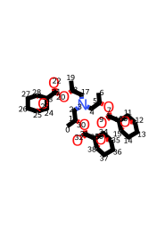 CC(CN(CC(C)OC(=O)C1CC2CCC1O2)CC(C)OC(=O)C1CC2CCC1O2)OC(=O)C1CC2CCC1O2